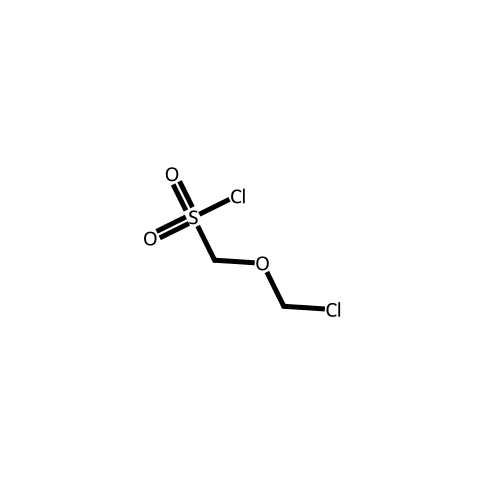 O=S(=O)(Cl)COCCl